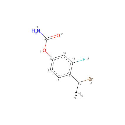 CC(Br)c1ccc(OC(N)=O)cc1F